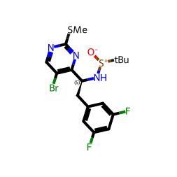 CSc1ncc(Br)c([C@H](Cc2cc(F)cc(F)c2)N[S+]([O-])C(C)(C)C)n1